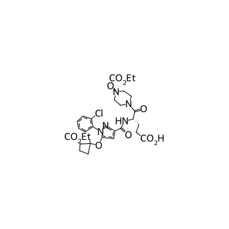 CCOC(=O)ON1CCN(C(=O)[C@H](CCC(=O)O)NC(=O)c2cc(OC3(C(=O)OCC)CCC3)n(-c3ccccc3Cl)n2)CC1